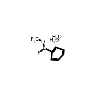 FB(OC(F)(F)F)c1ccccc1.O.O